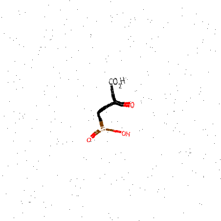 O=C(O)C(=O)CS(=O)O